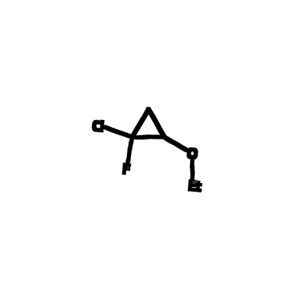 CCOC1CC1(F)Cl